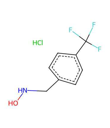 Cl.ONCc1ccc(C(F)(F)F)cc1